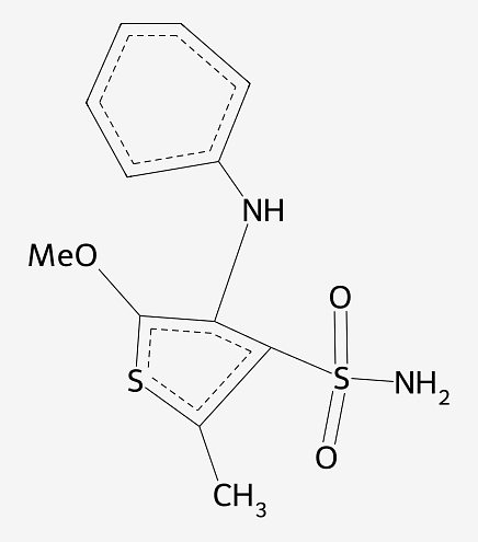 COc1sc(C)c(S(N)(=O)=O)c1Nc1ccccc1